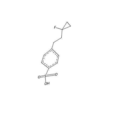 O=S(=O)(O)c1ccc(CCC2(F)CC2)cc1